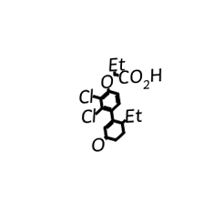 CCC1CCC(=O)C=C1c1ccc(OC(CC)C(=O)O)c(Cl)c1Cl